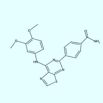 COc1ccc(Nc2nc(-c3ccc(C(N)=O)cc3)nc3scnc23)cc1OC